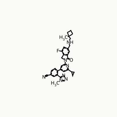 Cn1cnnc1-c1cc(C#N)ccc1-c1cc(C2CC2)nc(N2Cc3c(F)cc(CNCC4(C)CCC4)cc3C2=O)c1